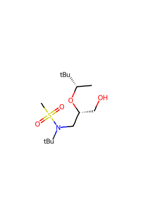 C[C@H](O[C@H](CO)CN(C(C)(C)C)S(C)(=O)=O)C(C)(C)C